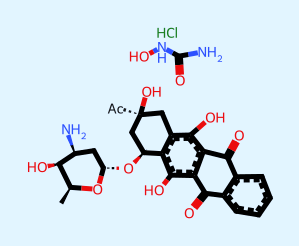 CC(=O)[C@]1(O)Cc2c(O)c3c(c(O)c2[C@@H](O[C@H]2C[C@H](N)[C@H](O)[C@H](C)O2)C1)C(=O)c1ccccc1C3=O.Cl.NC(=O)NO